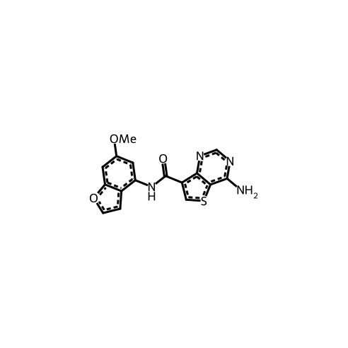 COc1cc(NC(=O)c2csc3c(N)ncnc23)c2ccoc2c1